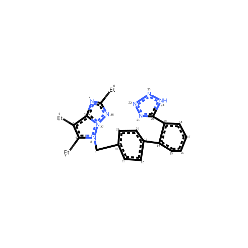 CCc1nc2c(CC)c(CC)n(Cc3ccc(-c4ccccc4-c4nnn[nH]4)cc3)n2n1